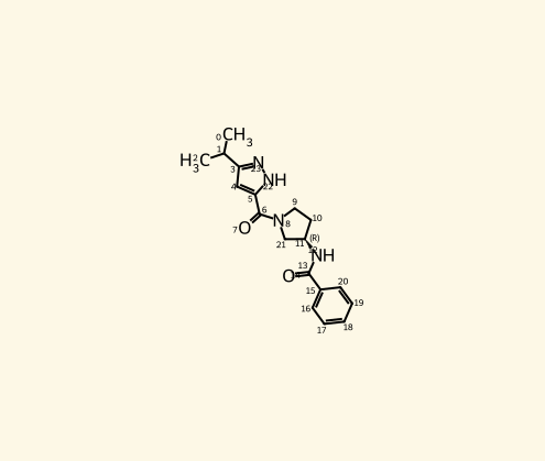 CC(C)c1cc(C(=O)N2CC[C@@H](NC(=O)c3ccccc3)C2)[nH]n1